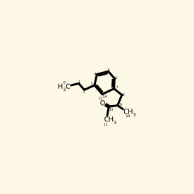 CCCc1cccc(CC(C)C(C)=O)c1